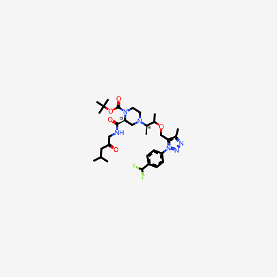 Cc1nnn(-c2ccc(C(F)F)cc2)c1COC(C)[C@@H](C)N1CCN(C(=O)OC(C)(C)C)[C@H](C(=O)NCC(=O)CC(C)C)C1